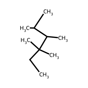 CCC(C)(C)C(C)C(C)C